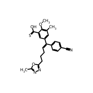 COc1c(C)cc(C(=CCCCc2nnc(C)o2)c2ccc(C#N)cc2)cc1C(O)=S